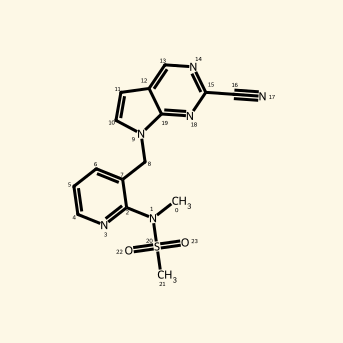 CN(c1ncccc1Cn1ccc2cnc(C#N)nc21)S(C)(=O)=O